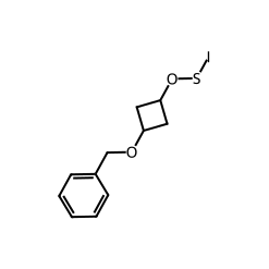 ISOC1CC(OCc2ccccc2)C1